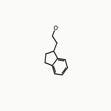 [O]CCC1CCc2ccccc21